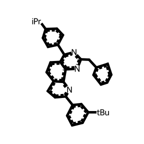 CC(C)c1ccc(-c2nc(Cc3ccccc3)nc3c2ccc2ccc(-c4cccc(C(C)(C)C)c4)nc23)cc1